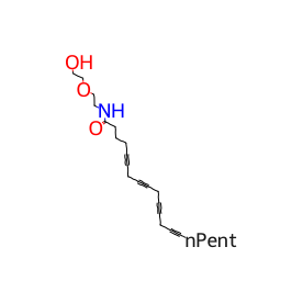 CCCCCC#CCC#CCC#CCC#CCCCC(=O)NCCOCCO